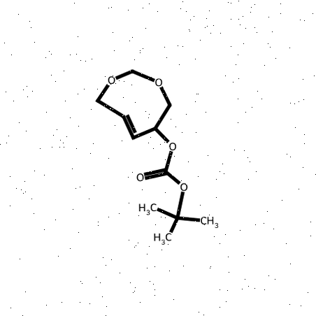 CC(C)(C)OC(=O)OC1/C=C/COCOC1